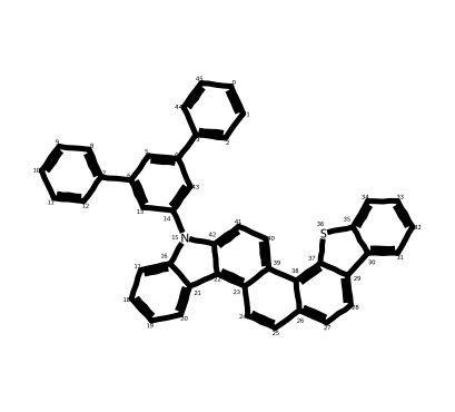 c1ccc(-c2cc(-c3ccccc3)cc(-n3c4ccccc4c4c5ccc6ccc7c8ccccc8sc7c6c5ccc43)c2)cc1